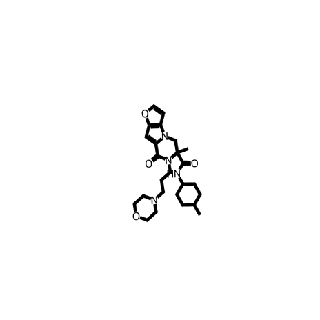 CC1CCC(NC(=O)C2(C)Cn3c(cc4occc43)C(=O)N2CCCN2CCOCC2)CC1